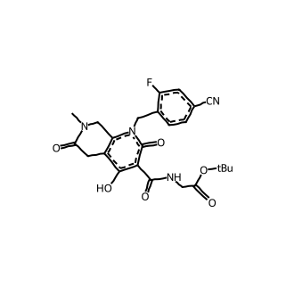 CN1Cc2c(c(O)c(C(=O)NCC(=O)OC(C)(C)C)c(=O)n2Cc2ccc(C#N)cc2F)CC1=O